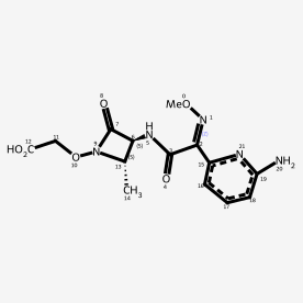 CO/N=C(\C(=O)N[C@@H]1C(=O)N(OCC(=O)O)[C@H]1C)c1cccc(N)n1